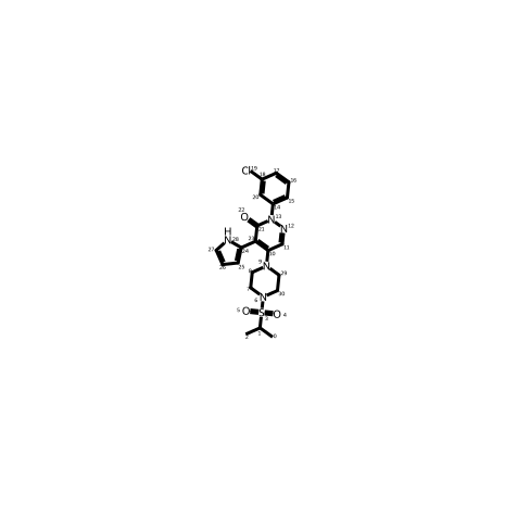 CC(C)S(=O)(=O)N1CCN(c2cnn(-c3cccc(Cl)c3)c(=O)c2-c2ccc[nH]2)CC1